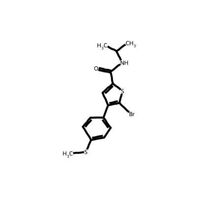 CSc1ccc(-c2cc(C(=O)NC(C)C)sc2Br)cc1